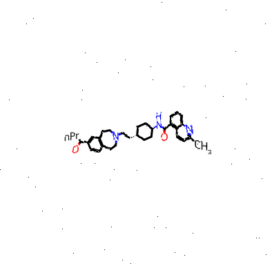 CCCC(=O)c1ccc2c(c1)CCN(CC[C@H]1CC[C@H](NC(=O)c3cccc4nc(C)ccc34)CC1)CC2